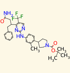 Cc1cc(Nc2ncc(C(F)(F)F)c(C(CC(N)=O)Cc3ccccc3)n2)ccc1C1CCN(C(=O)OC(C)(C)C)CC1